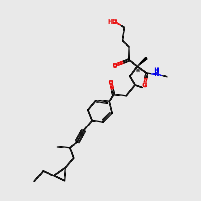 CCC1CC1CC(C)C#CC1C=CC(C(=O)CC(C)C[C@](C)(C(=O)CCCO)C(=O)NC)=CC1